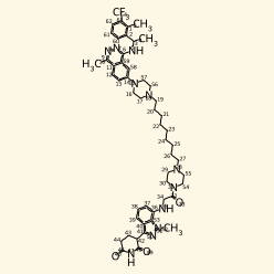 Cc1c(C(C)Nc2nnc(C)c3ccc(N4CCN(CCCCCCCCCN5CCN(C(=O)CNc6cccc7c(C8CCC(=O)NC8=O)nn(C)c67)CC5)CC4)cc23)cccc1C(F)(F)F